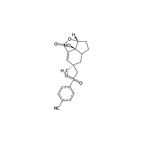 C[C@]1(CS(=O)(=O)c2ccc(C#N)cc2)C=C2C(=O)O[C@@H]3CCC(C1)[C@]23O